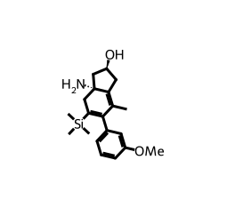 COc1cccc(C2=C([Si](C)(C)C)C[C@@]3(N)C[C@@H](O)CC3=C2C)c1